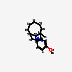 COc1ccc2c(c1)C1(C)CCCCCC(C2)C1N